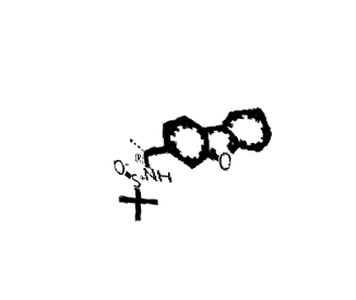 C[C@@H](N[S+]([O-])C(C)(C)C)c1ccc2c(c1)oc1ccccc12